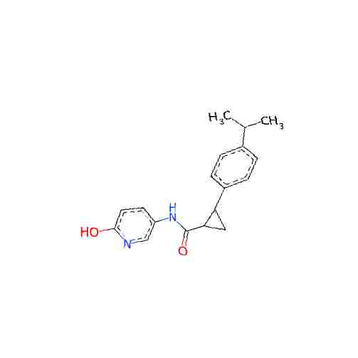 CC(C)c1ccc(C2CC2C(=O)Nc2ccc(O)nc2)cc1